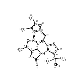 Cc1c2c(O[C@H](C)[C@H]3CNC(=O)O3)nc(-c3cnn(C(C)(C)C)c3)cc2nn1C